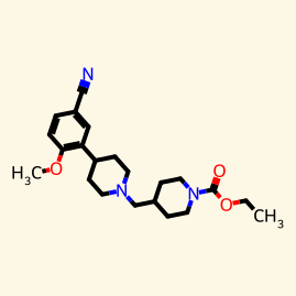 CCOC(=O)N1CCC(CN2CCC(c3cc(C#N)ccc3OC)CC2)CC1